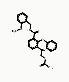 COc1ccccc1CNC(=O)c1cccc(C(=O)COC(C)=O)c1Oc1ccccc1